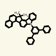 CC1(C)c2ccc3ccccc3c2-c2ccc3c(c21)c1ccccc1n3-c1cc(-c2ccccc2)cc(-c2ccccc2)c1